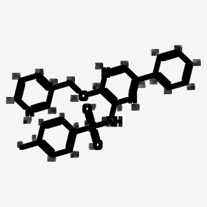 Cc1ccc(S(=O)(=O)Nc2nc(-c3ccccc3)cnc2OCc2cccnc2)cc1